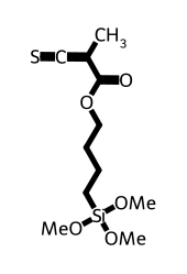 CO[Si](CCCCOC(=O)C(C)=C=S)(OC)OC